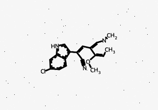 C=N/C=C(/C=C(\C#N)c1c[nH]c2cc(Cl)ccc12)C(=C/C)\OC